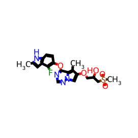 Cc1cc2c(F)c(Oc3ncnn4cc(OCC(O)CS(C)(=O)=O)c(C)c34)ccc2[nH]1